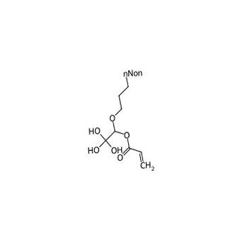 C=CC(=O)OC(OCCCCCCCCCCCC)C(O)(O)O